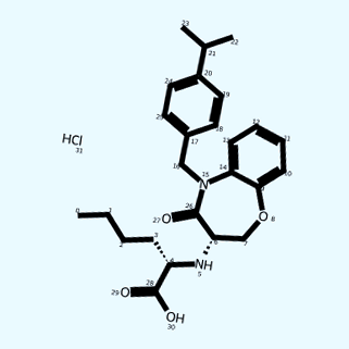 CCCC[C@H](N[C@H]1COc2ccccc2N(Cc2ccc(C(C)C)cc2)C1=O)C(=O)O.Cl